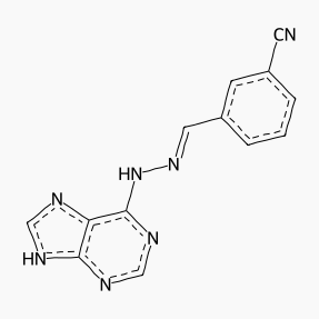 N#Cc1cccc(/C=N/Nc2ncnc3[nH]cnc23)c1